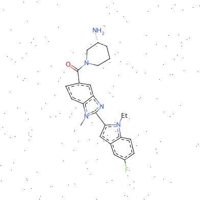 CCn1c(-c2nc3cc(C(=O)N4CCC[C@@H](N)C4)ccc3n2C)cc2cc(F)ccc21